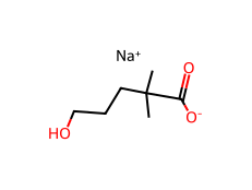 CC(C)(CCCO)C(=O)[O-].[Na+]